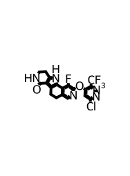 O=C1NCCc2[nH]c3c(c21)CCc1cnc(Oc2cc(Cl)nnc2C(F)(F)F)c(F)c1-3